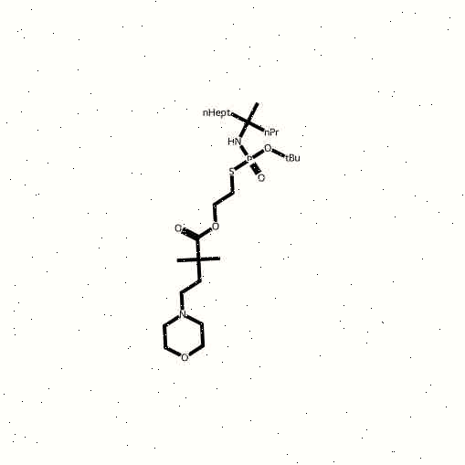 CCCCCCCC(C)(CCC)NP(=O)(OC(C)(C)C)SCCOC(=O)C(C)(C)CCN1CCOCC1